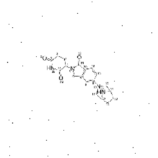 O=C1CCC(N2Cc3cc(N4CC5CCC(C4)N5)ccc3C2=O)C(=O)N1